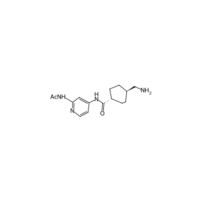 CC(=O)Nc1cc(NC(=O)[C@H]2CC[C@H](CN)CC2)ccn1